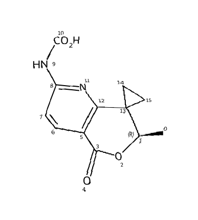 C[C@H]1OC(=O)c2ccc(NC(=O)O)nc2C12CC2